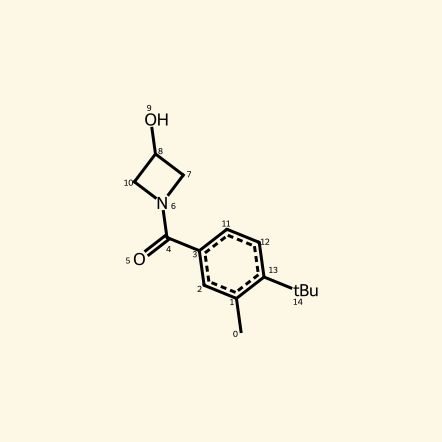 Cc1cc(C(=O)N2CC(O)C2)ccc1C(C)(C)C